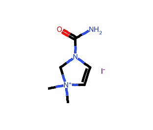 C[N+]1(C)C=CN(C(N)=O)C1.[I-]